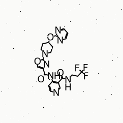 O=C(Nc1ccncc1C(=O)NCCC(F)(F)F)c1coc(N2CCC(Oc3ncccn3)CC2)n1